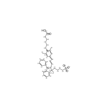 CC1=CC(=C/C=C/C2=[N+](c3ccccc3)c3ccccc3C2(C)CCCCS(=O)(=O)[O-])C=C(C)N1CCCCCC(=O)O